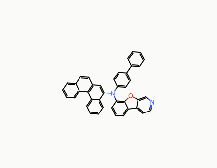 c1ccc(-c2ccc(N(c3cc4ccc5ccccc5c4c4ccccc34)c3cccc4c3oc3cnccc34)cc2)cc1